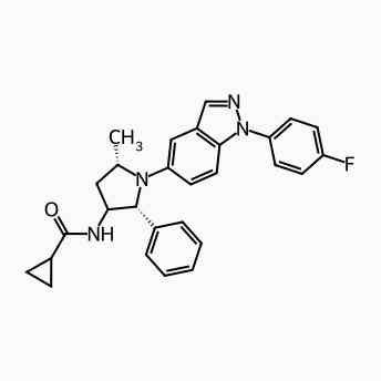 C[C@H]1CC(NC(=O)C2CC2)[C@@H](c2ccccc2)N1c1ccc2c(cnn2-c2ccc(F)cc2)c1